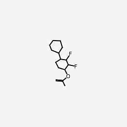 C=C(C)OC1CCC(C2CCCCC2)C(F)C1F